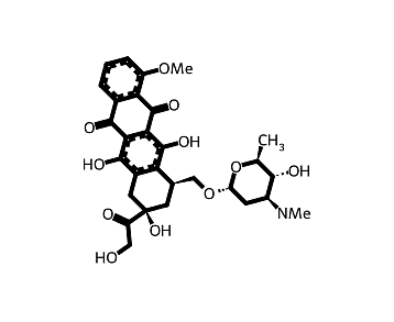 CN[C@H]1C[C@H](OC[C@H]2C[C@](O)(C(=O)CO)Cc3c(O)c4c(c(O)c32)C(=O)c2c(OC)cccc2C4=O)O[C@@H](C)[C@@H]1O